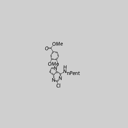 CCCCCNc1nc(Cl)nc2ccn(Cc3ccc(C(=O)OC)cc3OC)c12